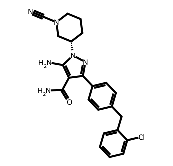 N#CN1CCC[C@H](n2nc(-c3ccc(Cc4ccccc4Cl)cc3)c(C(N)=O)c2N)C1